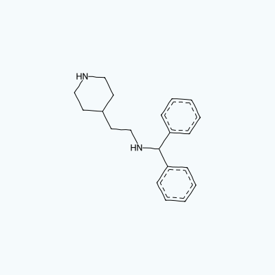 c1ccc(C(NCCC2CCNCC2)c2ccccc2)cc1